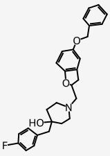 OC1(Cc2ccc(F)cc2)CCN(CC2Cc3cc(OCc4ccccc4)ccc3O2)CC1